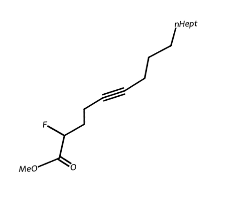 CCCCCCCCCCC#CCCC(F)C(=O)OC